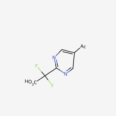 CC(=O)c1cnc(C(F)(F)C(=O)O)nc1